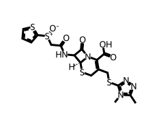 Cc1nnc(SCC2=C(C(=O)O)N3C(=O)C(NC(=O)C[S+]([O-])c4cccs4)[C@@H]3SC2)n1C